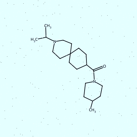 CC1CCN(C(=O)C2CCC3(CC2)CCN(C(C)C)CC3)CC1